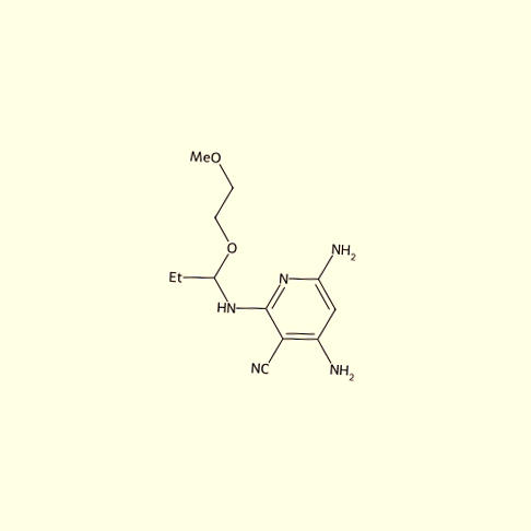 CCC(Nc1nc(N)cc(N)c1C#N)OCCOC